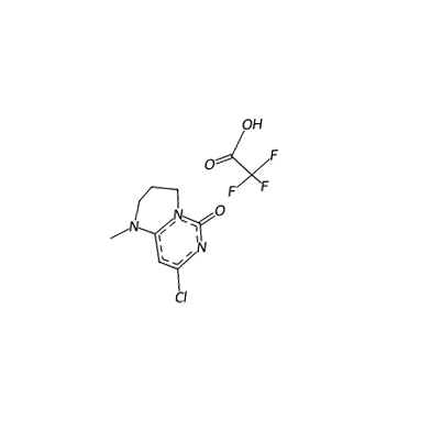 CN1CCCn2c1cc(Cl)nc2=O.O=C(O)C(F)(F)F